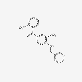 O=C(O)c1ccccc1C(=O)c1ccc(NCc2ccccc2)c([N+](=O)[O-])c1